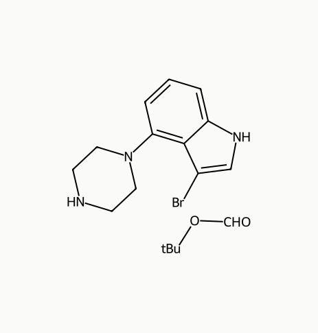 Brc1c[nH]c2cccc(N3CCNCC3)c12.CC(C)(C)OC=O